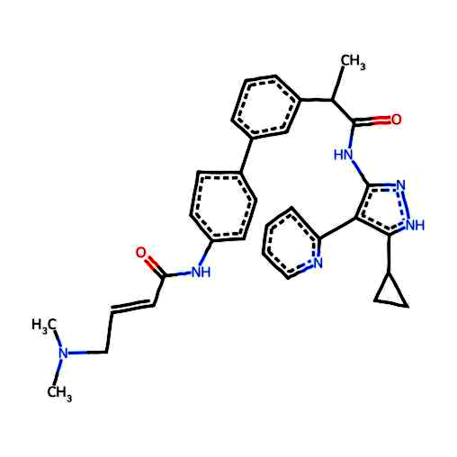 CC(C(=O)Nc1n[nH]c(C2CC2)c1-c1ccccn1)c1cccc(-c2ccc(NC(=O)/C=C/CN(C)C)cc2)c1